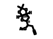 C#CCC(OC(C)=O)[C@@H]1C[C@H]2OC(C)(C)O[C@H]2O1